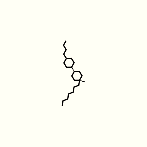 CCCCCCC[C@]1(C)CC[C@@H](C2CCC(CCCC)CC2)CC1